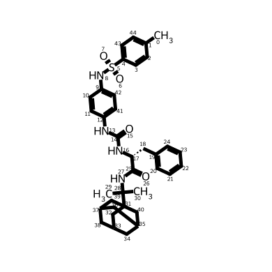 Cc1ccc(S(=O)(=O)Nc2ccc(NC(=O)N[C@H](Cc3ccccc3)C(=O)NC(C)(C)C34CC5CC(CC(C5)C3)C4)cc2)cc1